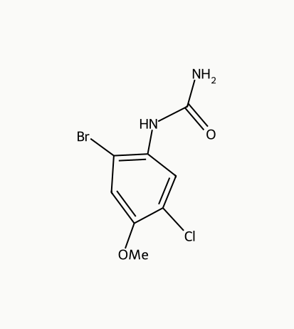 COc1cc(Br)c(NC(N)=O)cc1Cl